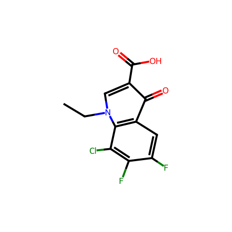 CCn1cc(C(=O)O)c(=O)c2cc(F)c(F)c(Cl)c21